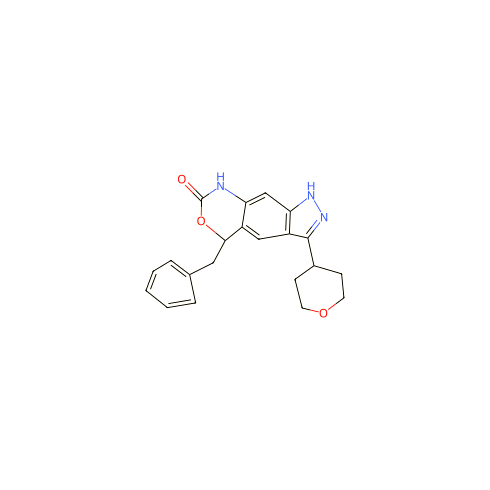 O=C1Nc2cc3[nH]nc(C4CCOCC4)c3cc2C(Cc2ccccc2)O1